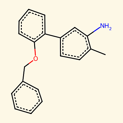 Cc1ccc(-c2ccccc2OCc2ccccc2)cc1N